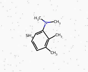 Cc1cccc(N(C)C)c1C.[SiH4]